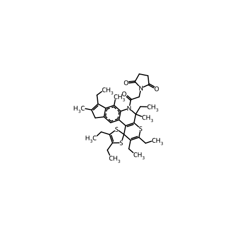 CCC1=C(CC)SC2(S1)C(CC)=C(CC)SC1=C2c2cc3c(c(C)c2N(C(=O)CN2C(=O)CCC2=O)C1(C)CC)C(CC)=C(C)C3